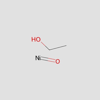 CCO.[O]=[Ni]